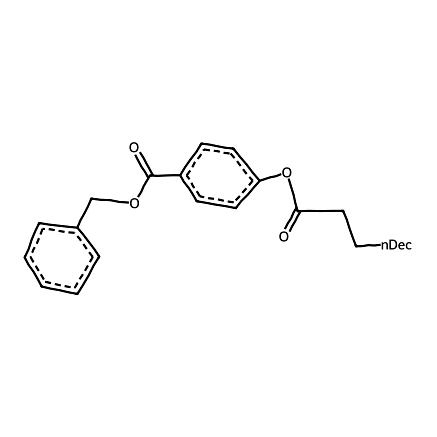 CCCCCCCCCCCCC(=O)Oc1ccc(C(=O)OCc2ccccc2)cc1